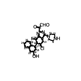 O=CC(=O)c1nc(N2CCNCC2)c2cc(Cl)c(-c3cc(O)cc4ccccc34)c(F)c2n1